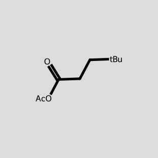 CC(=O)OC(=O)CCC(C)(C)C